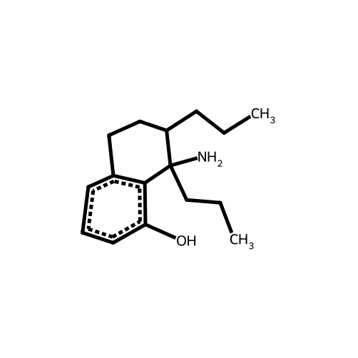 CCCC1CCc2cccc(O)c2C1(N)CCC